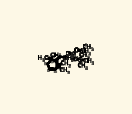 C[SiH2]O[SiH](O[SiH2]CC1C(C)(C)C=CCC1(C)C)O[Si](C)(C)C